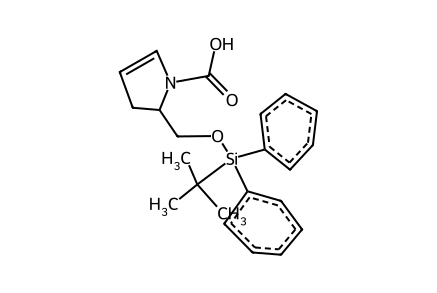 CC(C)(C)[Si](OCC1CC=CN1C(=O)O)(c1ccccc1)c1ccccc1